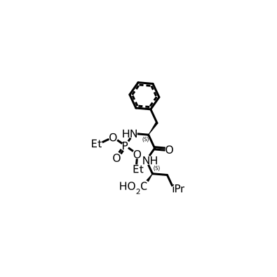 CCOP(=O)(N[C@@H](Cc1ccccc1)C(=O)N[C@@H](CC(C)C)C(=O)O)OCC